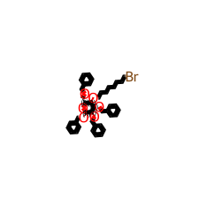 BrCCCCCCCCO[C@H]1[C@H](OCc2ccccc2)[C@@H](OCc2ccccc2)[C@H](OCc2ccccc2)O[C@@H]1COCc1ccccc1